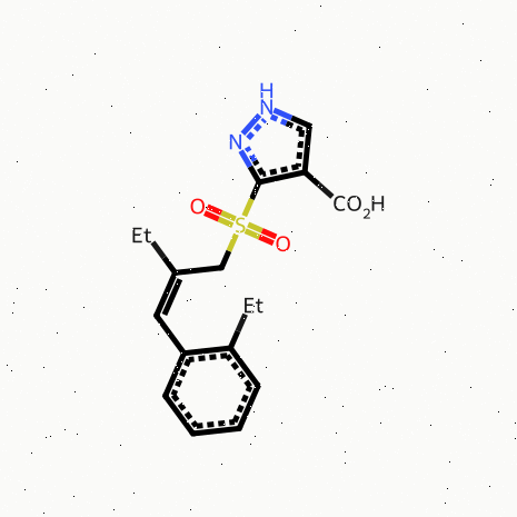 CCC(=Cc1ccccc1CC)CS(=O)(=O)c1n[nH]cc1C(=O)O